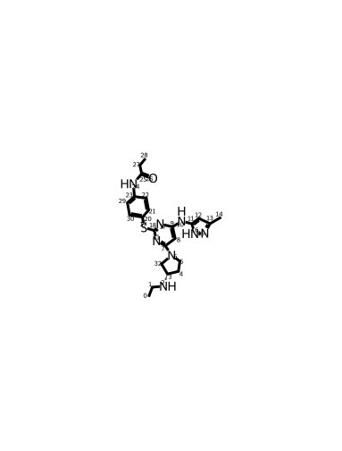 CCN[C@H]1CCN(c2cc(Nc3cc(C)n[nH]3)nc(Sc3ccc(NC(=O)CC)cc3)n2)C1